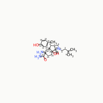 C=C(C)CCN1CC2C[C@]3(c4cc(O)ccc4C)C[C@](N)(C(N)=O)CC[C@@]3(O)[C@@H]21